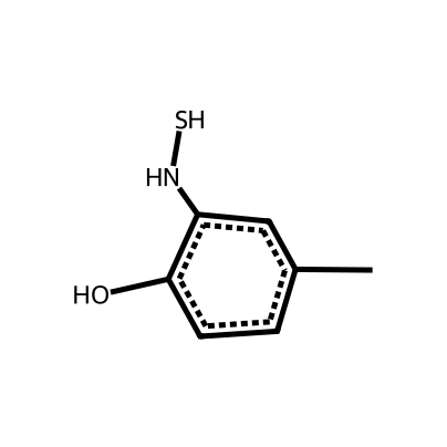 Cc1ccc(O)c(NS)c1